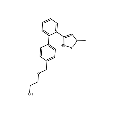 CC1C=C(c2ccccc2-c2ccc(COCCO)cc2)NO1